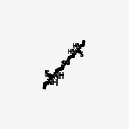 CCNC(=S)NCCSSCCNC(=S)NCC